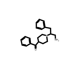 NCC(Cc1ccccc1)N1CCC(C(=O)c2ccccc2)CC1